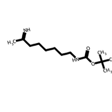 CC(=N)CCCCCCNC(=O)OC(C)(C)C